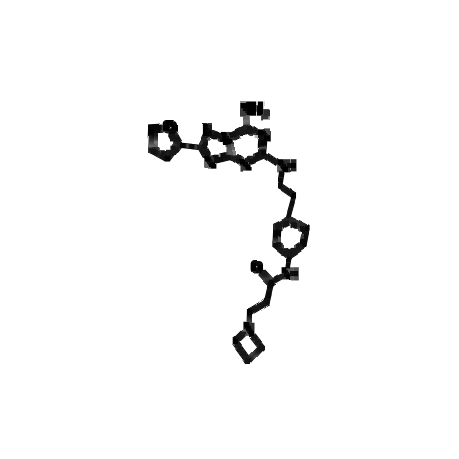 Nc1nc(NCCc2ccc(NC(=O)CCN3CCC3)cc2)nc2nc(-c3ccco3)nn12